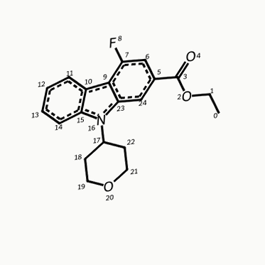 CCOC(=O)c1cc(F)c2c3ccccc3n(C3CCOCC3)c2c1